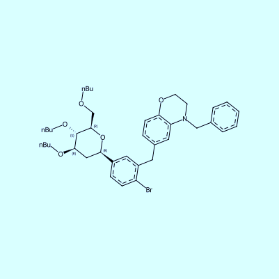 CCCCOC[C@H]1O[C@@H](c2ccc(Br)c(Cc3ccc4c(c3)N(Cc3ccccc3)CCO4)c2)C[C@@H](OCCCC)[C@@H]1OCCCC